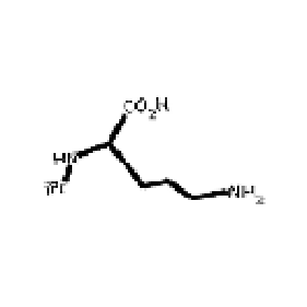 CC(C)NC(CCCN)C(=O)O